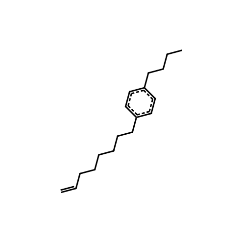 C=CCCCCCCc1ccc(CCCC)cc1